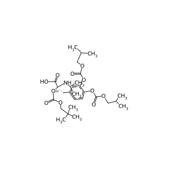 CC(C)COC(=O)Oc1ccc(C[C@](NC(C)C)(OC(=O)OCC(C)(C)C)C(=O)O)cc1OC(=O)OCC(C)C